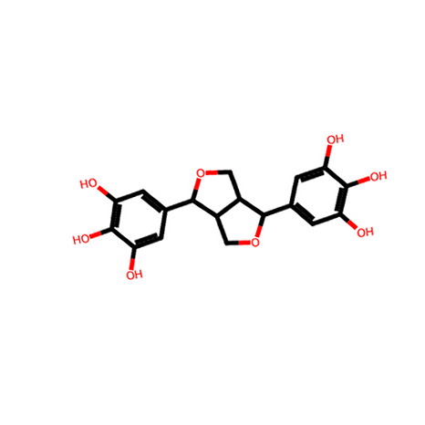 Oc1cc(C2OCC3C(c4cc(O)c(O)c(O)c4)OCC23)cc(O)c1O